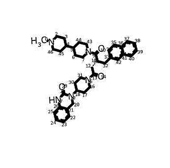 CN1CCC(C2CCN(C(=O)[C@@H](CC(=O)N3CCC(N4Cc5ccccc5NC4=O)CC3)Cc3ccc4ccccc4c3)CC2)CC1